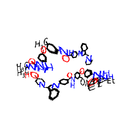 CCC(CC)NC(=O)Nc1ccc(Oc2ccc(NC(=O)c3ccc(-n4cc(CN5CCC(O)CC5)c5ccccc54)cc3)cc2COC)cc1.Cc1cc(NC(=O)c2ccc(-n3cc(CN4CCCC4)c4ccccc43)cc2)ccc1Oc1ccc(NC(=O)NN(C)C)cc1